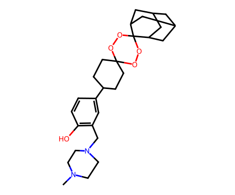 CN1CCN(Cc2cc(C3CCC4(CC3)OOC3(OO4)C4CC5CC(C4)CC3C5)ccc2O)CC1